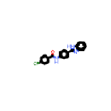 O=C(Nc1ccc(-c2nc3ccccc3[nH]2)cc1)c1ccc(Cl)cc1